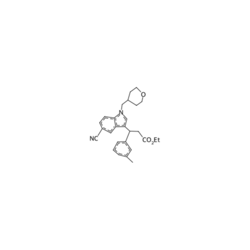 CCOC(=O)CC(c1cccc(C)c1)c1cn(CC2CCOCC2)c2ccc(C#N)cc12